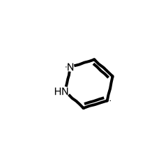 [C]1=CN[N]C=C1